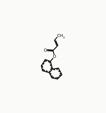 CC=CC(=O)Oc1cccc2ccccc12